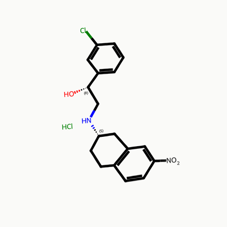 Cl.O=[N+]([O-])c1ccc2c(c1)C[C@@H](NC[C@H](O)c1cccc(Cl)c1)CC2